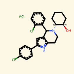 Cl.O[C@@H]1CCCC[C@H]1N1CCc2[nH]c(-c3ccc(Cl)cc3)cc2C1c1ccccc1Cl